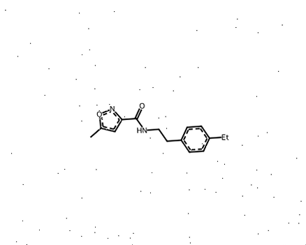 CCc1ccc(CCNC(=O)c2cc(C)on2)cc1